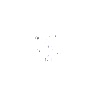 N.N.O=C(O)/C=C\C(=O)O.O=C(O)/C=C\C(=O)O